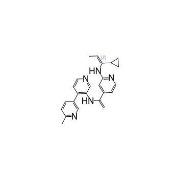 C=C(Nc1cnccc1-c1ccc(C)nc1)c1ccnc(N/C(=C\C)C2CC2)c1